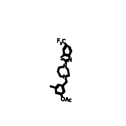 CC(=O)Oc1cc(C)cc(CN2CCCN(c3nc4ccc(C(F)(F)F)cc4s3)CC2)c1